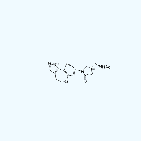 CC(=O)NC[C@H]1CN(c2ccc3c(c2)OCCc2cn[nH]c2-3)C(=O)O1